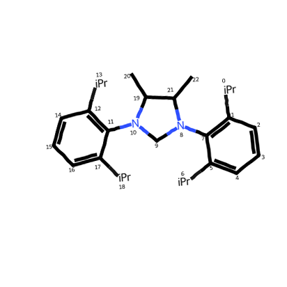 CC(C)c1cccc(C(C)C)c1N1CN(c2c(C(C)C)cccc2C(C)C)C(C)C1C